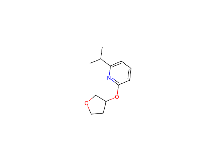 CC(C)c1cccc(OC2CCOC2)n1